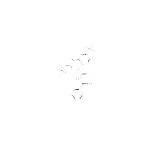 CN(C(=O)OC(C)(C)C)c1cc(C(F)(F)F)cnc1NC(=S)NC(=N)c1ccccn1